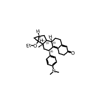 CCOC12C[C@@H]1C[C@H]1[C@@H]3CCC4=CC(=O)CCC4=C3[C@@H](c3ccc(N(C)C)cc3)C[C@@]12C